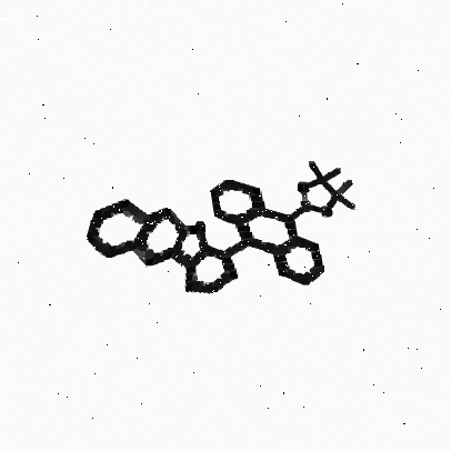 CC1(C)OB(c2c3ccccc3c(-c3cccc4c3oc3cc5ccccc5cc34)c3ccccc23)OC1(C)C